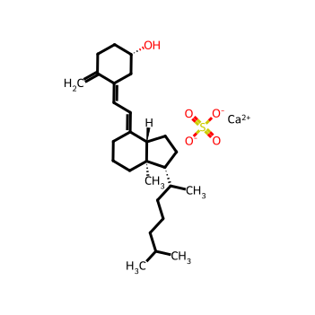 C=C1CC[C@H](O)C/C1=C\C=C1/CCC[C@]2(C)[C@@H](C(C)CCCC(C)C)CC[C@@H]12.O=S(=O)([O-])[O-].[Ca+2]